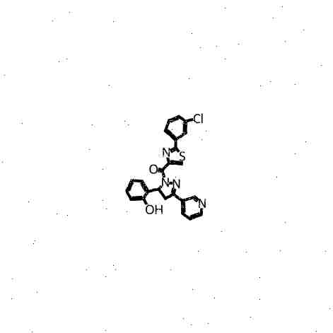 O=C(c1csc(-c2cccc(Cl)c2)n1)N1N=C(c2cccnc2)CC1c1ccccc1O